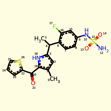 Cc1cc(C(C)c2ccc(NS(N)(=O)=O)cc2F)[nH]c1C(=O)c1cccs1